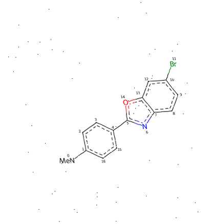 CNc1ccc(-c2nc3ccc(Br)cc3o2)cc1